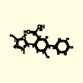 Cc1nnc(-c2cc(C)c(-c3ccccc3)cc2C(=O)O)o1